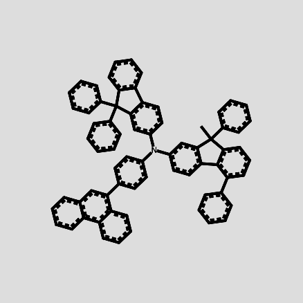 CC1(c2ccccc2)c2cc(N(c3ccc(-c4cc5ccccc5c5ccccc45)cc3)c3ccc4c(c3)C(c3ccccc3)(c3ccccc3)c3ccccc3-4)ccc2-c2c(-c3ccccc3)cccc21